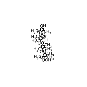 COc1cc(O)cc(C)c1C(=O)Oc1c(C)c(C)c(C(=O)Oc2cc(C)c(C(=O)Oc3cc(OC)c(C(=O)O)c(C)c3C)c(C)c2C)c(O)c1Br